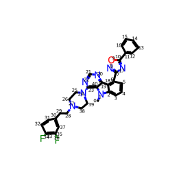 Cn1c2cccc(-c3noc(-c4ccccc4)n3)c2c2ncnc(N3CCN(CCc4ccc(F)c(F)c4)CC3)c21